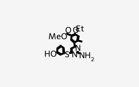 CCOc1cc(C)c(-c2cc(Sc3cccc(O)c3)nc(N)n2)cc1C(=O)OC